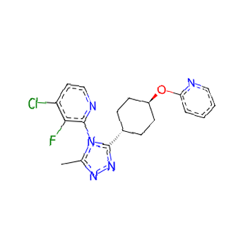 Cc1nnc([C@H]2CC[C@H](Oc3ccccn3)CC2)n1-c1nccc(Cl)c1F